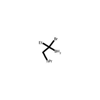 BC(Br)(CC)CCCC